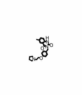 Cc1ccc2[nH]c(=O)n(Cc3ccc(OCCN4CCCC4)cc3)c(=O)c2c1